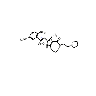 CC(=O)Nc1ccc(N)c(/C(C=O)=C/c2[nH]c3c(c2C)C(=O)N(CCN2CCCC2)CCC3)c1